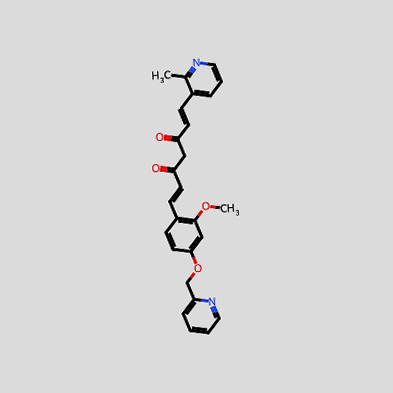 COc1cc(OCc2ccccn2)ccc1C=CC(=O)CC(=O)C=Cc1cccnc1C